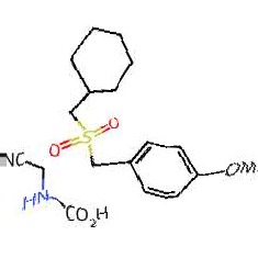 COc1ccc(CS(=O)(=O)CC2CCCCC2)cc1.N#CCNC(=O)O